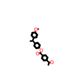 COc1ccc(C(C)c2ccc(OC(=O)c3ccc(C(C)=O)cc3)cc2)cc1